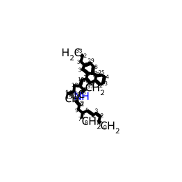 C=C/C=C\C=C\C(C=C)C/C=C/NC(C=C)C/C(=C/c1cc2ccccc2c2ccc(CC=C)cc12)C(=C)C